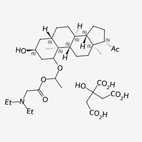 CCN(CC)CC(=O)OC(C)OC1C[C@@H](O)C[C@@H]2CC[C@H]3[C@@H]4CC[C@H](C(C)=O)[C@@]4(C)CC[C@@H]3[C@@]12C.O=C(O)CC(O)(CC(=O)O)C(=O)O